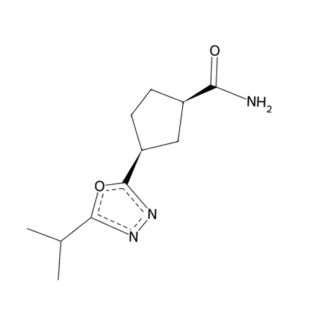 CC(C)c1nnc([C@H]2CC[C@@H](C(N)=O)C2)o1